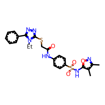 CCn1c(SCC(=O)Nc2ccc(S(=O)(=O)Nc3onc(C)c3C)cc2)nnc1-c1ccccc1